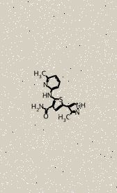 Cc1cccc(Nc2sc(-c3c[nH]nc3C)cc2C(N)=O)n1